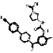 Cc1ccc(C(=O)N2CCC(c3ccc(C#N)cc3)CC2)cc1NC(=O)N[C@@H]1CCN(C(=O)O)C1